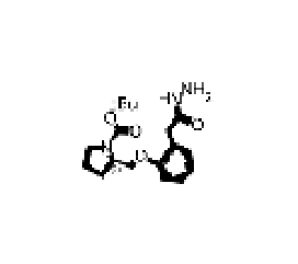 CC(C)(C)OC(=O)N1CCC[C@@H]1COc1ccccc1CC(=O)NN